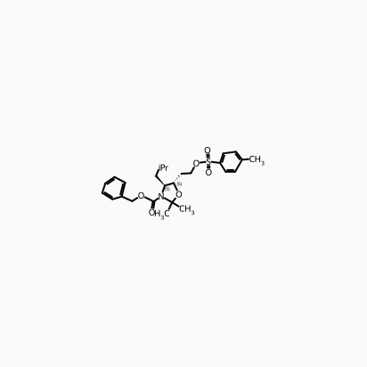 Cc1ccc(S(=O)(=O)OCC[C@@H]2OC(C)(C)N(C(=O)OCc3ccccc3)[C@H]2CC(C)C)cc1